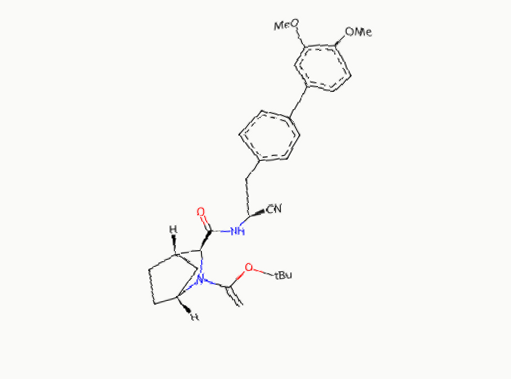 C=C(OC(C)(C)C)N1[C@@H]2CC[C@@H](C2)[C@H]1C(=O)N[C@H](C#N)Cc1ccc(-c2ccc(OC)c(OC)c2)cc1